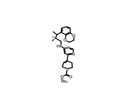 CC(c1cccc2c1OCCO2)[C@H](C)CNc1cc(C2=CCN(C(=O)OC(C)(C)C)CC2)ncn1